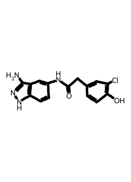 Nc1n[nH]c2ccc(NC(=O)Cc3ccc(O)c(Cl)c3)cc12